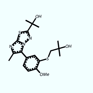 COc1ccc(-c2c(C)nc3sc(C(C)(C)O)nn23)cc1SCC(C)(C)O